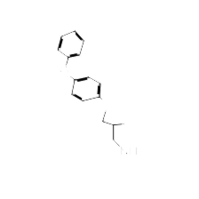 CC(C)NCC(O)COc1ccc(Oc2ccccc2)cc1